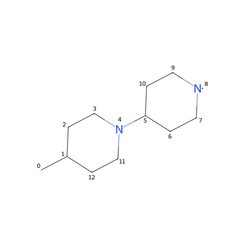 CC1CCN(C2CC[N]CC2)CC1